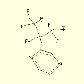 FC(F)(F)C(F)(c1cn[c]cn1)C(F)(F)F